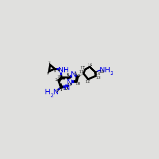 Nc1cc(NC2CC2)c2nc([C@H]3CC[C@H](N)CC3)cn2n1